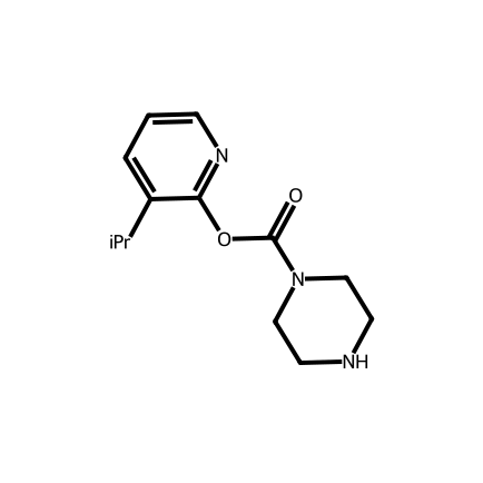 CC(C)c1cccnc1OC(=O)N1CCNCC1